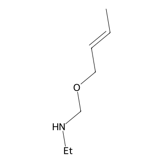 CC=CCOCNCC